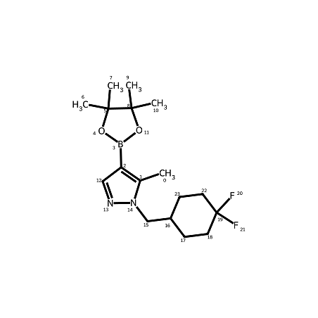 Cc1c(B2OC(C)(C)C(C)(C)O2)cnn1CC1CCC(F)(F)CC1